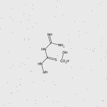 CCCNC(=S)NC(=N)N.O=C(O)O